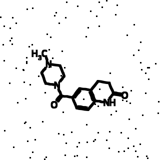 CN1CCN(C(=O)c2ccc3c(c2)CCC(=O)N3)CC1